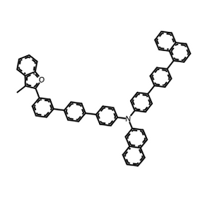 Cc1c(-c2cccc(-c3ccc(-c4ccc(N(c5ccc(-c6ccc(-c7cccc8ccccc78)cc6)cc5)c5ccc6ccccc6c5)cc4)cc3)c2)oc2ccccc12